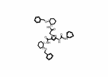 O=C(Cn1nc(NC(=O)Nc2ccccc2)cc1C(=O)N[C@H]1CCCC[C@@H]1OCc1ccccc1)N[C@H]1CCCC[C@@H]1OCc1ccccc1